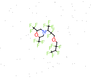 FC(C(F)(F)F)C(F)(F)COCC(F)(F)C(N1CC(C(F)(F)F)OC(C(F)(F)F)C1)C(F)(F)F